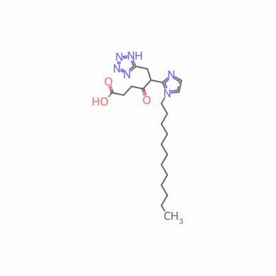 CCCCCCCCCCCCn1ccnc1C(Cc1nnn[nH]1)C(=O)CCC(=O)O